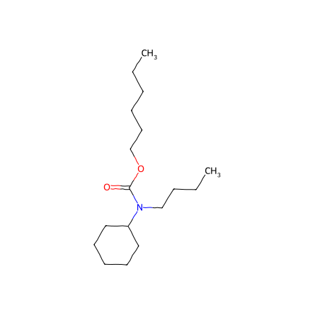 CCCCCCOC(=O)N(CCCC)C1CCCCC1